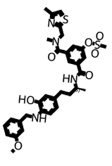 COc1cccc(CNc2ccc(CC[C@H](C)NC(=O)c3cc(OS(C)(=O)=O)cc(C(=O)N(C)Cc4nc(C)cs4)c3)cc2O)c1